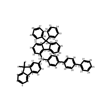 CC1(C)c2ccccc2-c2ccc(N(c3ccc(-c4ccc(-c5ccccc5)cc4)cc3)c3cccc4c3-c3ccccc3C4(c3ccccc3)c3ccccc3)cc21